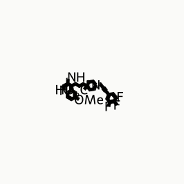 COc1ccc2ncc(CN)c(CCCC3(C(=O)O)CCN(CC#Cc4cc(F)c(F)c(F)c4)CC3)c2c1